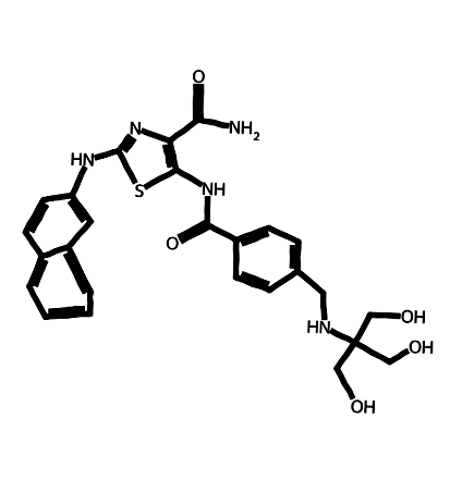 NC(=O)c1nc(Nc2ccc3ccccc3c2)sc1NC(=O)c1ccc(CNC(CO)(CO)CO)cc1